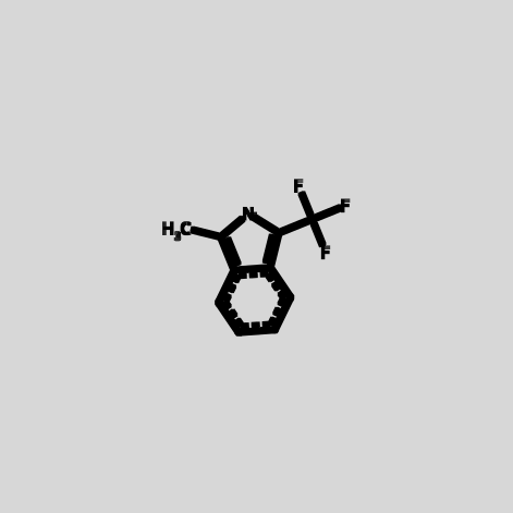 CC1=c2ccccc2=C(C(F)(F)F)[N]1